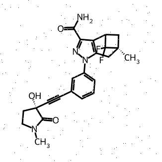 CN1CC[C@@](O)(C#Cc2cccc(-n3nc(C(N)=O)c4c3C[C@]3(C)CC4C3(F)F)c2)C1=O